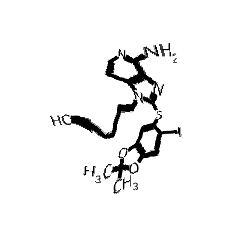 C#CCCCn1c(Sc2cc3c(cc2I)OC(C)(C)O3)nc2c(N)nccc21